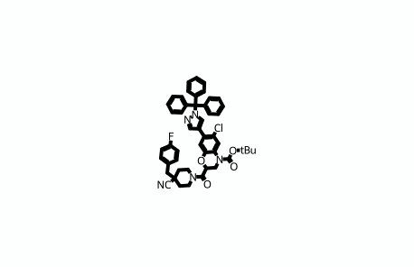 CC(C)(C)OC(=O)N1CC(C(=O)N2CCC(C#N)(Cc3ccc(F)cc3)CC2)Oc2cc(-c3cnn(C(c4ccccc4)(c4ccccc4)c4ccccc4)c3)c(Cl)cc21